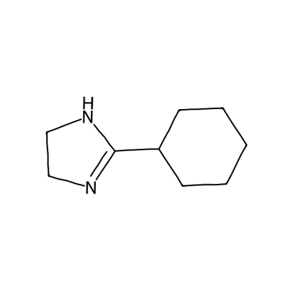 C1CCC(C2=NCCN2)CC1